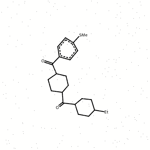 CCC1CCC(C(=O)C2CCC(C(=O)c3ccc(SC)cc3)CC2)CC1